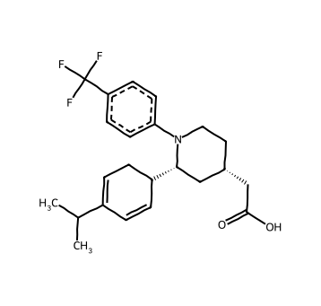 CC(C)C1=CCC([C@H]2C[C@@H](CC(=O)O)CCN2c2ccc(C(F)(F)F)cc2)C=C1